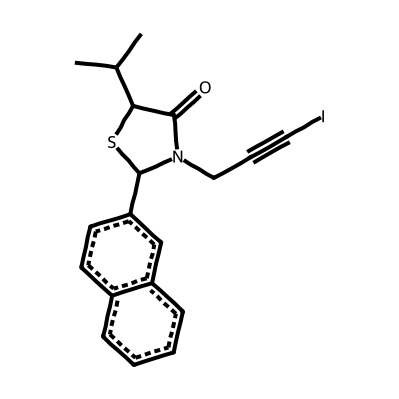 CC(C)C1SC(c2ccc3ccccc3c2)N(CC#CI)C1=O